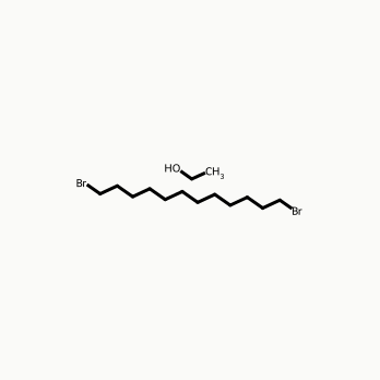 BrCCCCCCCCCCCCBr.CCO